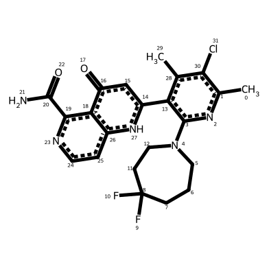 Cc1nc(N2CCCC(F)(F)CC2)c(-c2cc(=O)c3c(C(N)=O)nccc3[nH]2)c(C)c1Cl